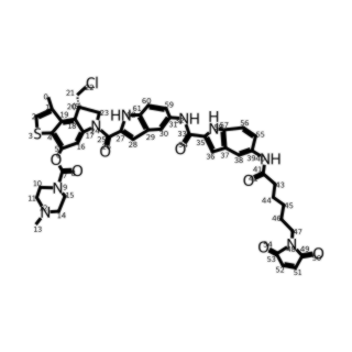 Cc1csc2c(OC(=O)N3CCN(C)CC3)cc3c(c12)[C@H](CCl)CN3C(=O)c1cc2cc(NC(=O)c3cc4cc(NC(=O)CCCCCN5C(=O)C=CC5=O)ccc4[nH]3)ccc2[nH]1